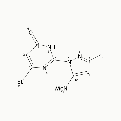 CCc1cc(=O)[nH]c(-n2nc(C)cc2NC)n1